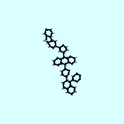 c1ccc(-c2c(-c3ccc(-c4c5ccccc5c(-c5cccc(-c6ccc7oc8ccccc8c7c6)c5)c5ccccc45)cc3)ccc3ccccc23)cc1